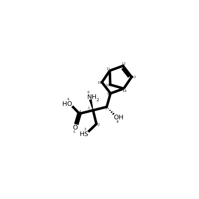 N[C@@](CS)(C(=O)O)[C@@H](O)C1CC2C=CC1C2